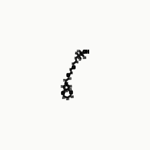 CC(C)(CCCOCCOCCn1cc2c(c1)OCCCO2)[Si](C)(C)O